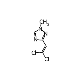 Cn1cnc(C=C(Cl)Cl)n1